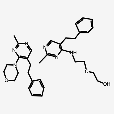 Cc1ncc(CCc2ccccc2)c(N2CCOCC2)n1.Cc1ncc(CCc2ccccc2)c(NCCOCCO)n1